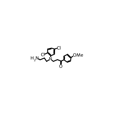 COc1ccc(C(=O)CCN(CCCN)c2cc(Cl)ccc2Cl)cc1